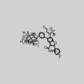 BC(B)(B)C(NC(=O)c1cccc(-c2cc3c(C(=O)NC)c(-c4ccc(F)cc4)oc3cc2N(CCF)S(C)(=O)=O)c1)(C(B)(B)B)C(B)(B)B